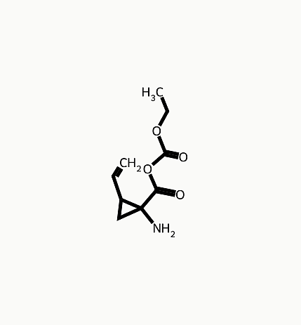 C=CC1CC1(N)C(=O)OC(=O)OCC